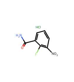 Cl.NC(=O)c1cccc([N+](=O)[O-])c1F